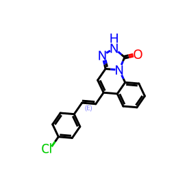 O=c1[nH]nc2cc(/C=C/c3ccc(Cl)cc3)c3ccccc3n12